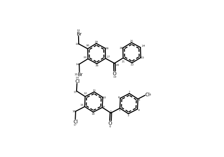 O=C(c1ccc(Cl)cc1)c1ccc(CCl)c(CCl)c1.O=C(c1ccccc1)c1ccc(CBr)c(CBr)c1